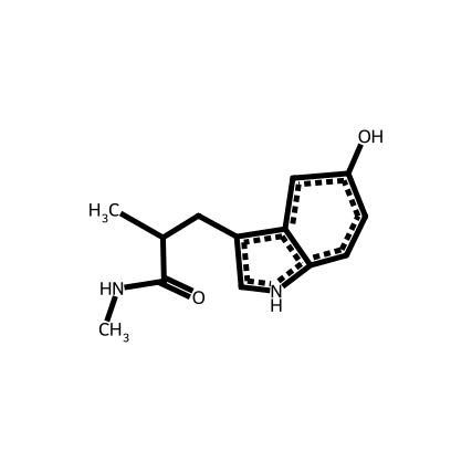 CNC(=O)C(C)Cc1c[nH]c2ccc(O)cc12